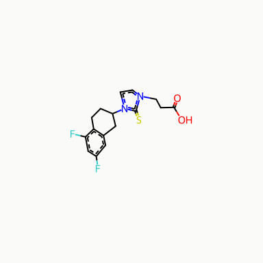 O=C(O)CCn1ccn(C2CCc3c(F)cc(F)cc3C2)c1=S